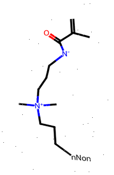 C=C(C)C(=O)[N-]CCC[N+](C)(C)CCCCCCCCCCCC